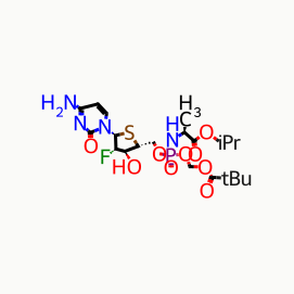 CC(C)OC(=O)[C@H](C)NP(=O)(OCOC(=O)C(C)(C)C)OC[C@H]1S[C@@H](n2ccc(N)nc2=O)[C@@H](F)[C@@H]1O